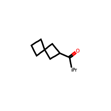 CC(C)C(=O)C1CC2(CCC2)C1